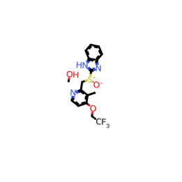 CO.Cc1c(OCC(F)(F)F)ccnc1C[S@@+]([O-])c1nc2ccccc2[nH]1